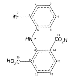 CC(C)c1ccccc1Nc1c(C(=O)O)cccc1C(=O)O